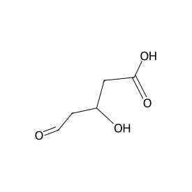 O=CCC(O)CC(=O)O